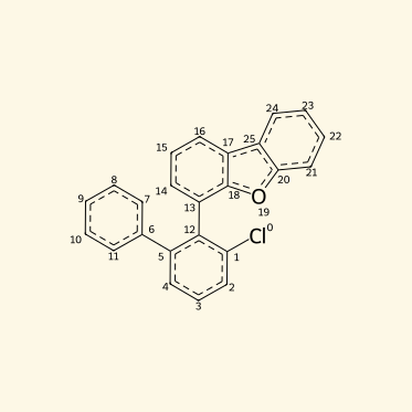 Clc1cccc(-c2ccccc2)c1-c1cccc2c1oc1ccccc12